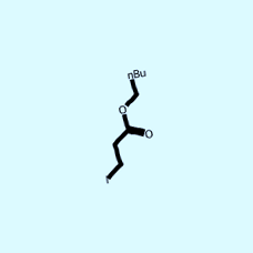 CCCCCOC(=O)CCI